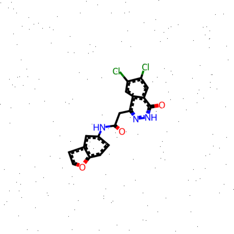 O=C(Cc1n[nH]c(=O)c2cc(Cl)c(Cl)cc12)Nc1ccc2occc2c1